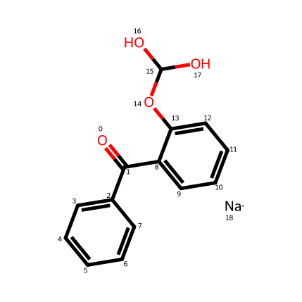 O=C(c1ccccc1)c1ccccc1OC(O)O.[Na]